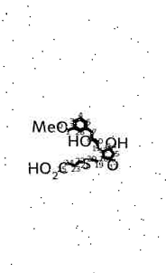 COCc1cccc(CC(O)=CC[C@H]2[C@H](O)CC(=O)[C@@H]2CCSCCCC(=O)O)c1